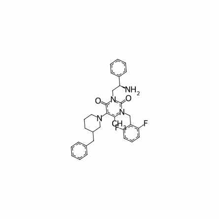 Cc1c(N2CCCC(Cc3ccccc3)C2)c(=O)n(C[C@H](N)c2ccccc2)c(=O)n1Cc1c(F)cccc1F